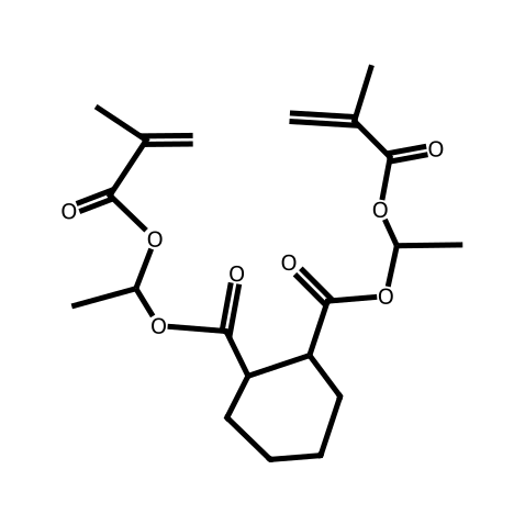 C=C(C)C(=O)OC(C)OC(=O)C1CCCCC1C(=O)OC(C)OC(=O)C(=C)C